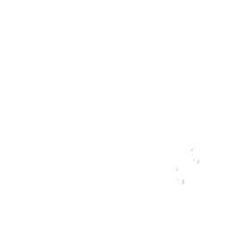 CCCCCCCCCCCCCCCCCC(N)=O.CCCCCCCCCCCCCCCCCC(N)=O